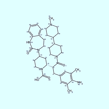 Cc1cc(CC(C(=O)N2CCC(C3CCN(C)CC3)CC2)[C@H]2CC(N3CCc4ccccc4NC3=O)CCN2C(=O)O)cc(C)c1N